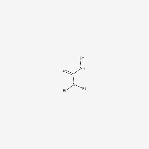 CCN(CC)C(=S)NC(C)C